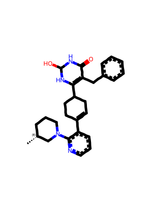 C[C@@H]1CCCN(c2ncccc2C2=CCC(C3=C(Cc4ccccc4)C(=O)NC(O)N3)CC2)C1